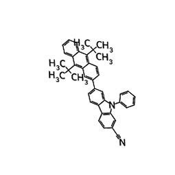 CC(C)(C)c1c2ccccc2c(C(C)(C)C)c2cc(-c3ccc4c5ccc(C#N)cc5n(-c5ccccc5)c4c3)ccc12